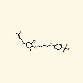 Cc1cc(OC/C=C(/F)Cl)cc(Cl)c1OCCCCOc1ccc(C(F)(F)F)cc1